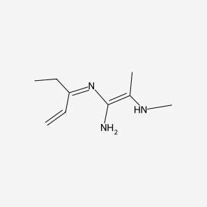 C=C/C(CC)=N\C(N)=C(/C)NC